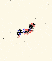 COc1ccc2nccc(CNC[C@@H](O)C(O)[C@H]3CN(c4ccc5c(c4)OCCO5)C(=O)O3)c2n1